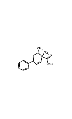 COC(=O)C1([N+](=O)[O-])C=CC(c2ccccc2)=CC1C